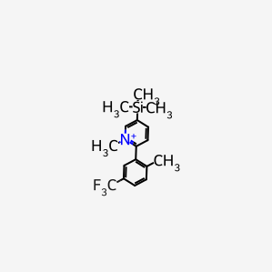 Cc1ccc(C(F)(F)F)cc1-c1ccc([Si](C)(C)C)c[n+]1C